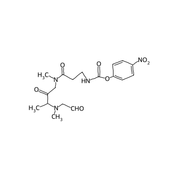 CC(C(=O)CN(C)C(=O)CCNC(=O)Oc1ccc([N+](=O)[O-])cc1)N(C)CC=O